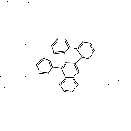 c1ccc(-c2c3ccccc3cc3c4ccccc4c4ccccc4c23)cc1